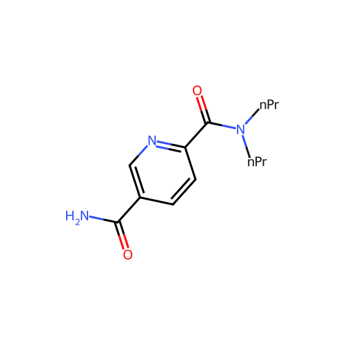 CCCN(CCC)C(=O)c1ccc(C(N)=O)cn1